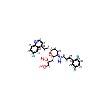 OC[C@H](O)C[C@H]1O[C@H](CCc2ccnc3ccc(F)cc23)CC[C@H]1NC/C=C/c1cc(F)ccc1F